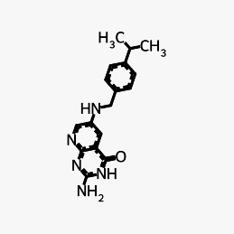 CC(C)c1ccc(CNc2cnc3nc(N)[nH]c(=O)c3c2)cc1